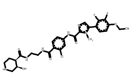 Cn1c(-c2ccc(OCC#N)c(F)c2F)cnc1C(=O)Nc1ccc(C(=O)NCCNC(=O)[C@@H]2CCNC[C@@H]2O)c(Cl)c1